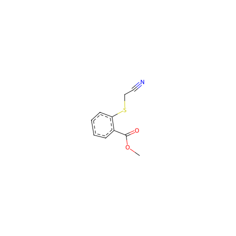 COC(=O)c1ccccc1SCC#N